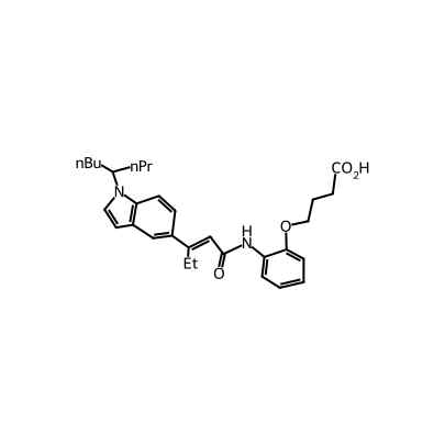 CCCCC(CCC)n1ccc2cc(C(=CC(=O)Nc3ccccc3OCCCC(=O)O)CC)ccc21